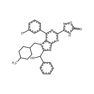 CC1CCC(Cn2c(C(O)c3ccccc3)nc3nc(-c4noc(=O)[nH]4)nc(-c4cccc(Cl)c4)c32)CC1